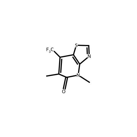 Cc1c(C(F)(F)F)c2scnc2n(C)c1=O